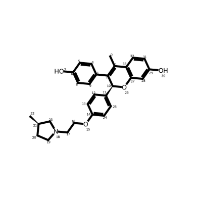 CC1=C(c2ccc(O)cc2)[C@H](c2ccc(OCCN3CC[C@@H](C)C3)cc2)Oc2cc(O)ccc21